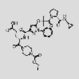 CCOC(=O)N1CCN(C(=O)[C@H](CCC(=O)O)NC(=O)c2cc(OC(C)(C)C(=O)N3CCC[C@@H]3C(=O)NC3CC3)n(-c3ccccc3)n2)CC1